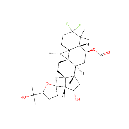 C[C@@H]1C23CCC(F)(F)C(C)(C)[C@@H]2[C@@H](OC=O)C[C@@H]2[C@]13CC[C@]13C[C@@]4(CCC(C(C)(C)O)O4)[C@H]1[C@@H](O)C[C@@]23C